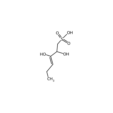 CCC=C(O)C(O)CS(=O)(=O)O